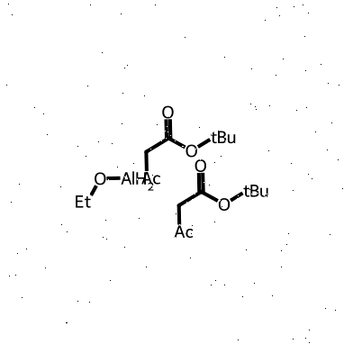 CC(=O)CC(=O)OC(C)(C)C.CC(=O)CC(=O)OC(C)(C)C.CC[O][AlH2]